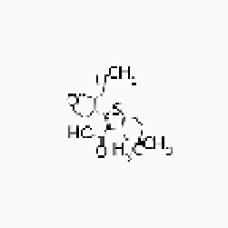 COC[C@H]1COCC[C@H]1c1sc2c(c1C(=O)O)CC(C)(C)CC2